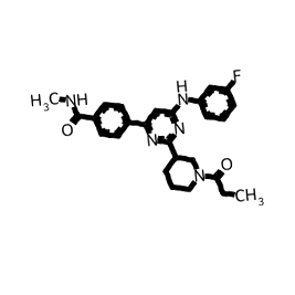 CCC(=O)N1CCCC(c2nc(Nc3cccc(F)c3)cc(-c3ccc(C(=O)NC)cc3)n2)C1